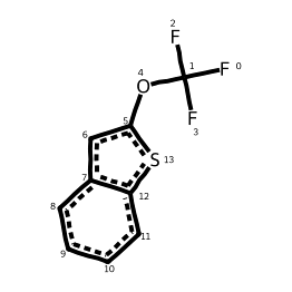 FC(F)(F)Oc1cc2ccccc2s1